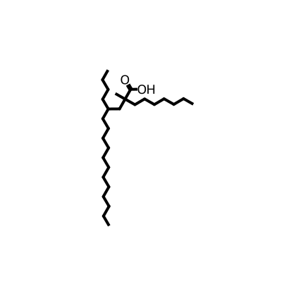 CCCCCCCCCCCCC(CCCC)CC(C)(CCCCCCC)C(=O)O